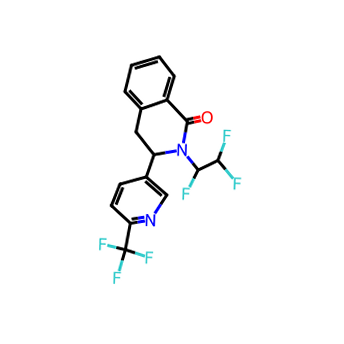 O=C1c2ccccc2CC(c2ccc(C(F)(F)F)nc2)N1C(F)C(F)F